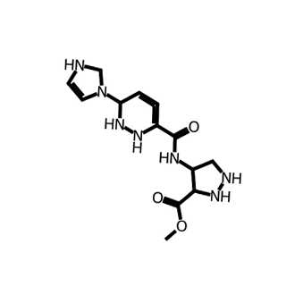 COC(=O)C1NNCC1NC(=O)C1=C=CC(N2C=CNC2)NN1